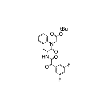 C[C@H](NC(=O)C(=O)c1cc(F)cc(F)c1)C(=O)N(CC(=O)OC(C)(C)C)c1ccccc1